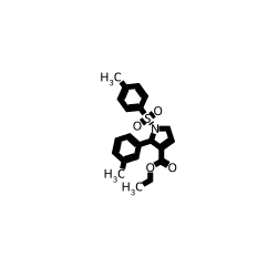 CCOC(=O)C1=CCN(S(=O)(=O)c2ccc(C)cc2)C1c1cccc(C)c1